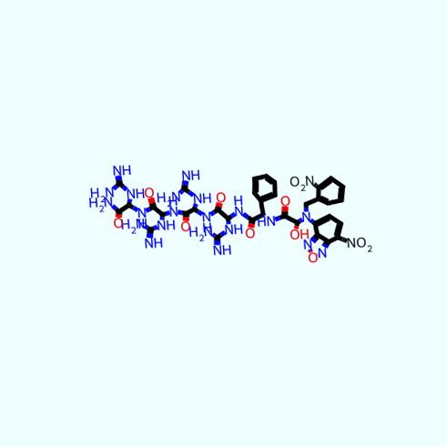 N=C(N)NC(NC(=O)C(NC(=N)N)NC(=O)C(NC(=N)N)NC(=O)C(NC(=N)N)NC(=O)C(NC(=O)C(O)N(Cc1ccccc1[N+](=O)[O-])c1ccc([N+](=O)[O-])c2nonc12)c1ccccc1)C(N)=O